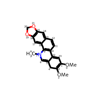 COC1=C(OC)CC2=CN(C)c3c(ccc4cc5c(cc34)OCO5)C2=C1